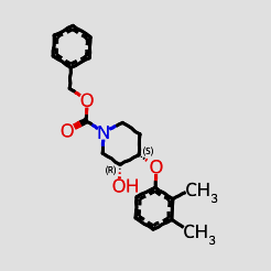 Cc1cccc(O[C@H]2CCN(C(=O)OCc3ccccc3)C[C@H]2O)c1C